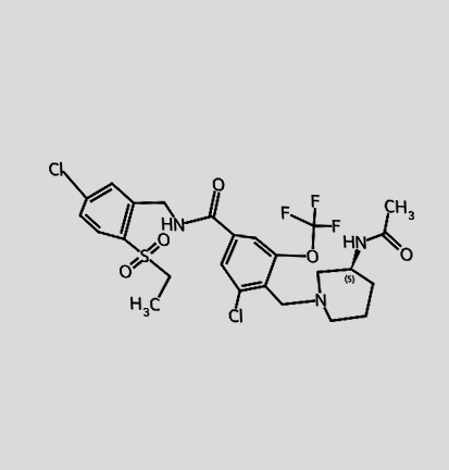 CCS(=O)(=O)c1ccc(Cl)cc1CNC(=O)c1cc(Cl)c(CN2CCC[C@H](NC(C)=O)C2)c(OC(F)(F)F)c1